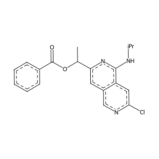 CC(C)Nc1nc(C(C)OC(=O)c2ccccc2)cc2cnc(Cl)cc12